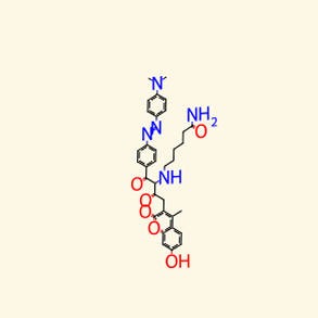 Cc1c(CC(=O)C(NCCCCCC(N)=O)C(=O)c2ccc(N=Nc3ccc(N(C)C)cc3)cc2)c(=O)oc2cc(O)ccc12